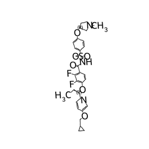 CC[C@@H](Oc1ccc(C(=O)NS(=O)(=O)c2ccc(O[C@@H]3CCN(C)C3)cc2)c(F)c1F)c1ccc(OCC2CC2)cn1